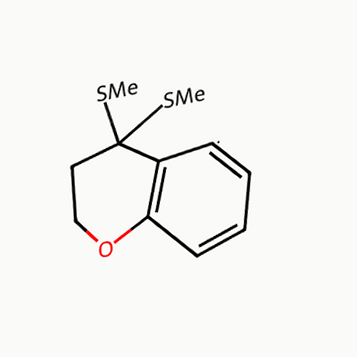 CSC1(SC)CCOc2ccc[c]c21